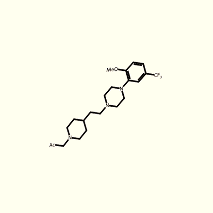 COc1ccc(C(F)(F)F)cc1N1CCN(CCC2CCN(CC(C)=O)CC2)CC1